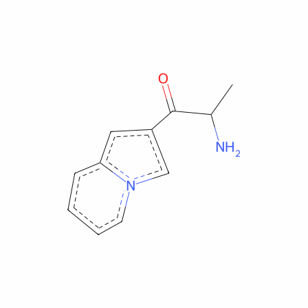 CC(N)C(=O)c1cc2ccccn2c1